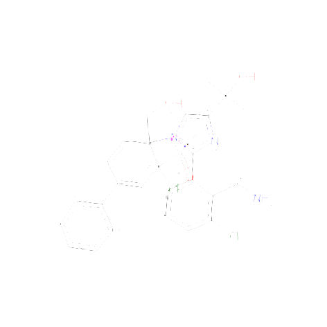 CC(C)(O)c1cn(C2(CO)C=CC(c3ccccc3)=CC2(Cl)S(C)(=O)=O)c(-c2cccc(Cl)c2CN)n1